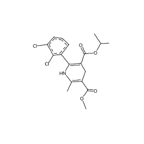 COC(=O)C1=C(C)NC(c2cccc(Cl)c2Cl)=C(C(=O)OC(C)C)C1